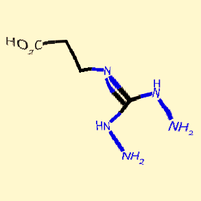 NNC(=NCCC(=O)O)NN